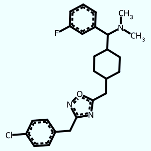 CN(C)C(c1cccc(F)c1)C1CCC(Cc2nc(Cc3ccc(Cl)cc3)no2)CC1